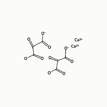 O=C([O-])C(=O)C(=O)[O-].O=C([O-])C(=O)C(=O)[O-].[Ca+2].[Ca+2]